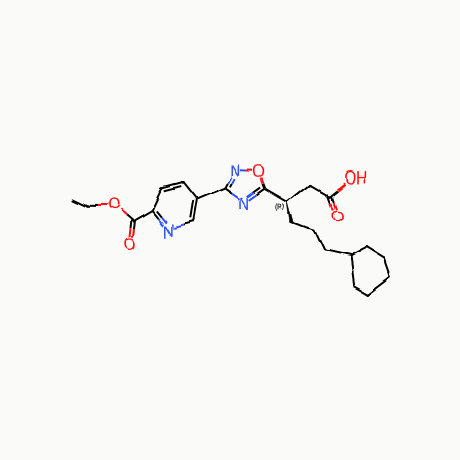 CCOC(=O)c1ccc(-c2noc([C@H](CCCC3CCCCC3)CC(=O)O)n2)cn1